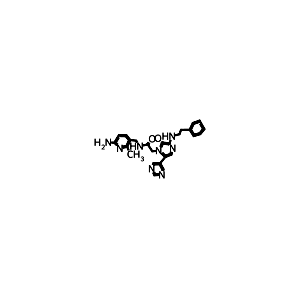 Cc1nc(N)ccc1CNC(=O)Cn1c(-c2cncnc2)cnc(NCCc2ccccc2)c1=O